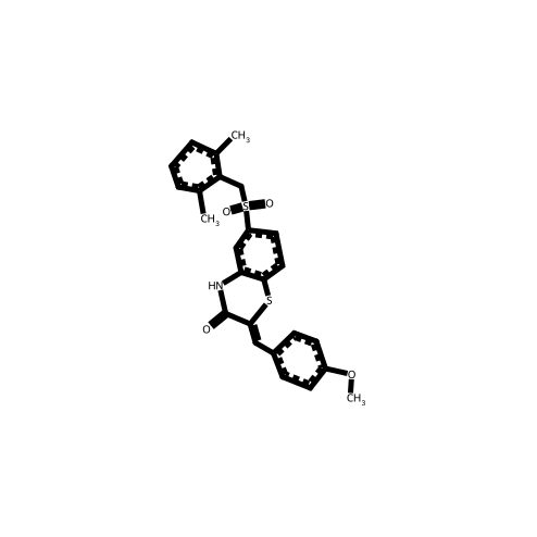 COc1ccc(/C=C2\Sc3ccc(S(=O)(=O)Cc4c(C)cccc4C)cc3NC2=O)cc1